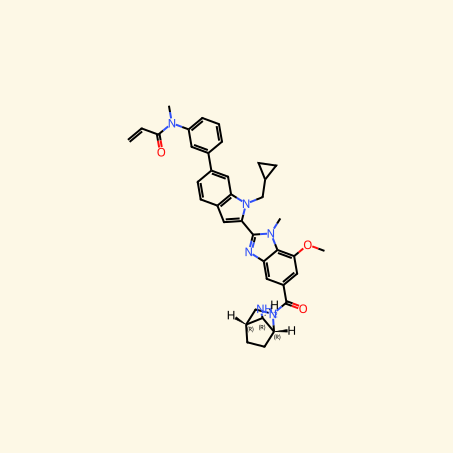 C=CC(=O)N(C)c1cccc(-c2ccc3cc(-c4nc5cc(C(=O)N6C[C@H]7CC[C@@H]6[C@@H]7N)cc(OC)c5n4C)n(CC4CC4)c3c2)c1